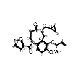 C=CCOc1c(OC)ccc2c1CN(CC1CC1)C(=O)CCN2C(=O)c1ccno1